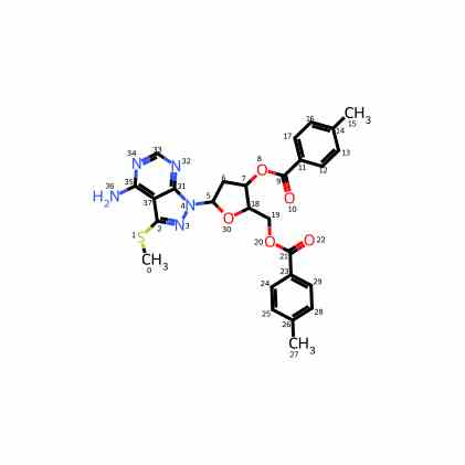 CSc1nn(C2CC(OC(=O)c3ccc(C)cc3)C(COC(=O)c3ccc(C)cc3)O2)c2ncnc(N)c12